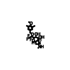 CNC1=N[C@@H]2[C@@H](O)[C@H](O)C([C@@H](OCc3cc(C)c(OC)c(C)c3)C(F)(F)F)O[C@@H]2C1